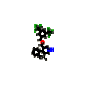 Cc1ccccc1C1CCNCC1COCc1cc(C(F)(F)F)cc(C(F)(F)F)c1